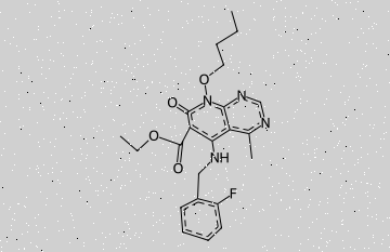 CCCCOn1c(=O)c(C(=O)OCC)c(NCc2ccccc2F)c2c(C)ncnc21